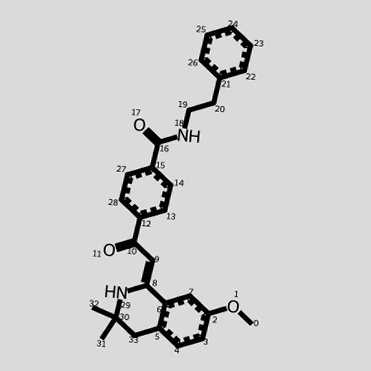 COc1ccc2c(c1)C(=CC(=O)c1ccc(C(=O)NCCc3ccccc3)cc1)NC(C)(C)C2